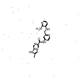 CC1=CN2C=C(C(=O)Nc3ccnc(CNc4cccnc4N)c3)N=CC2N1